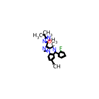 C#Cc1ccc2c(c1)C(c1ccccc1F)=NC(C)c1c(-c3nc(C(C)C)no3)ncn1-2